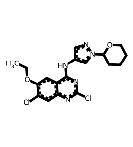 CCOc1cc2c(Nc3cnn(C4CCCCO4)c3)nc(Cl)nc2cc1Cl